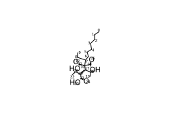 CCCCCCCC(CC)C(C(=O)O)(C(=O)O)C(CC)=C(CC)C(=O)O